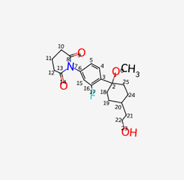 COC1(c2ccc(N3C(=O)CCCC3=O)cc2F)CCC(CCO)CC1